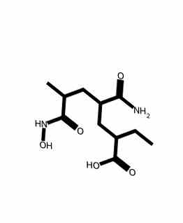 CCC(CC(CC(C)C(=O)NO)C(N)=O)C(=O)O